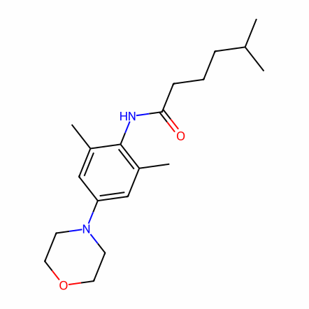 Cc1cc(N2CCOCC2)cc(C)c1NC(=O)CCCC(C)C